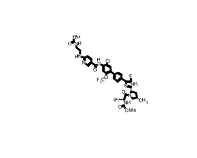 COC(=O)N[C@H](C(=O)N1C[C@@H](C)C[C@H]1c1nc(-c2ccc(-c3cc(Cl)c(NC(=O)c4ccc(NCCNC(=O)C(C)(C)C)nc4)cc3OC(F)(F)F)cc2)c(F)[nH]1)C(C)C